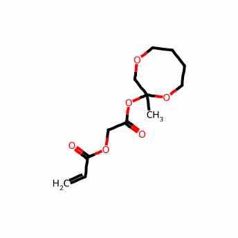 C=CC(=O)OCC(=O)OC1(C)COCCCCO1